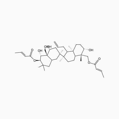 C=CCC1[C@@]2(C)CC[C@H](O)[C@](C)(COC(=O)/C=C/C)C2CC[C@@]1(C)[C@@]1(C)CC2CC(C)(C)[C@@H](OC(=O)/C=C/C)[C@H](O)[C@]2(CO)[C@H](O)C1